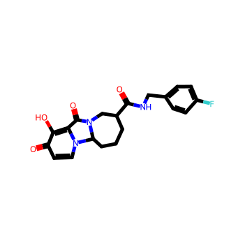 O=C(NCc1ccc(F)cc1)C1CCCC2N(C1)C(=O)c1c(O)c(=O)ccn12